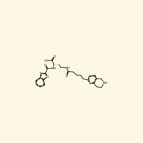 O=C(CCCCc1ccc2c(n1)CCNC2)NCC[C@H](NC(=O)c1nc2ccccc2o1)C(=O)O